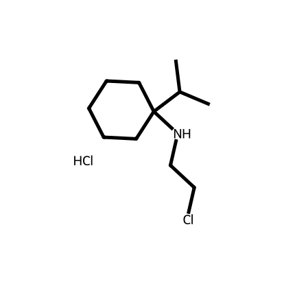 CC(C)C1(NCCCl)CCCCC1.Cl